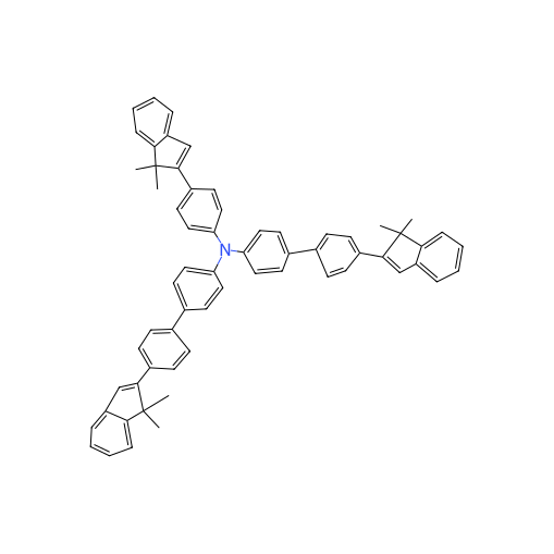 CC1(C)C(c2ccc(-c3ccc(N(c4ccc(C5=Cc6ccccc6C5(C)C)cc4)c4ccc(-c5ccc(C6=Cc7ccccc7C6(C)C)cc5)cc4)cc3)cc2)=Cc2ccccc21